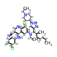 C=C(/C=C\C=C/C)[C@@H](c1cn(C2CCN(CC)CC2)nn1)N(CC)c1cc(Cl)c2ncc(C#N)c(Nc3ccc(F)c(Cl)c3)c2c1